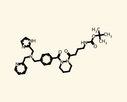 CC(C)(C)OC(=O)NCCCC(=O)N1CCCCN1C(=O)c1ccc(CN(Cc2ccccn2)Cc2ncc[nH]2)cc1